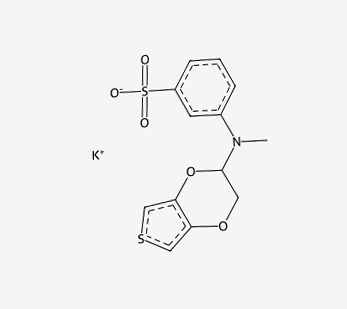 CN(c1cccc(S(=O)(=O)[O-])c1)C1COc2cscc2O1.[K+]